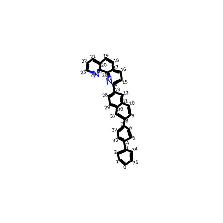 c1ccc(-c2ccc(-c3ccc4cc(-c5ccc6ccc7cccnc7c6n5)ccc4c3)cc2)cc1